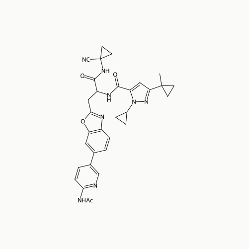 CC(=O)Nc1ccc(-c2ccc3nc(CC(NC(=O)c4cc(C5(C)CC5)nn4C4CC4)C(=O)NC4(C#N)CC4)oc3c2)cn1